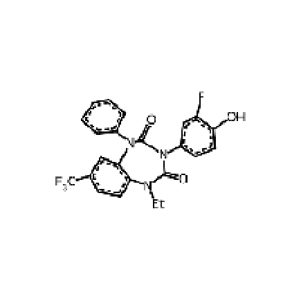 CCN1C(=O)N(c2ccc(O)c(F)c2)C(=O)N(c2ccccc2)c2cc(C(F)(F)F)ccc21